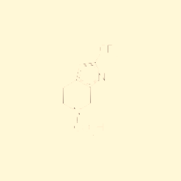 O=C(O)N1CCc2sc(C(F)(F)F)nc2C1